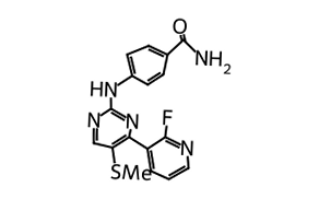 CSc1cnc(Nc2ccc(C(N)=O)cc2)nc1-c1cccnc1F